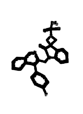 CS(=O)(=O)N1CC2(C1)C(=O)N(Cc1ncc3ccccc3c1-c1ccc(F)cc1)c1ccccc12